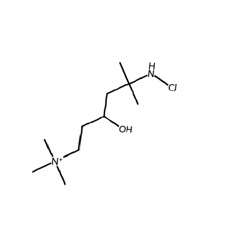 CC(C)(CC(O)CC[N+](C)(C)C)NCl